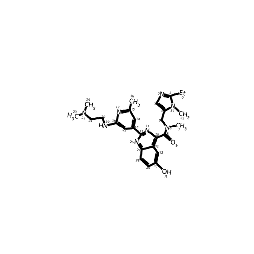 CCc1ncc(CN(C)C(=O)c2nc(-c3cc(C)nc(NCCN(C)C)c3)nc3ccc(O)cc23)n1C